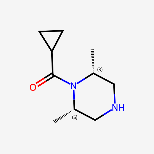 C[C@@H]1CNC[C@H](C)N1C(=O)C1CC1